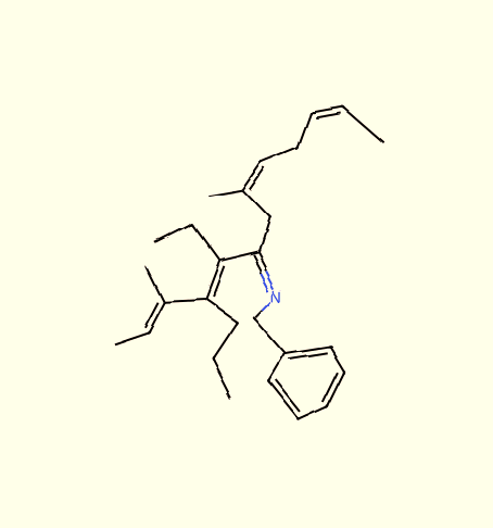 C/C=C\C/C=C(/C)CC(=N/Cc1ccccc1)/C(CC)=C(CCC)/C(C)=C/C